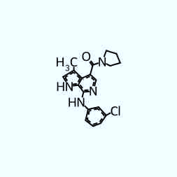 Cc1c[nH]c2c(Nc3cccc(Cl)c3)ncc(C(=O)N3CCCC3)c12